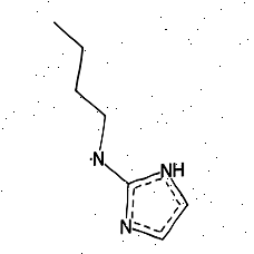 CCCC[N]c1ncc[nH]1